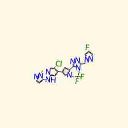 Cn1nccc1Nc1cc(-c2cc3n(c2)CC(F)(F)Cn2c(Cn4cc(F)cn4)nnc2-3)c(Cl)cn1